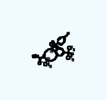 C[C@H]1CCc2cc(C(F)(C(F)(F)F)C(F)(F)F)ccc2[C@](C)(S(=O)(=O)c2ccc(F)cc2)CCN1[S+]([O-])C(C)(C)C